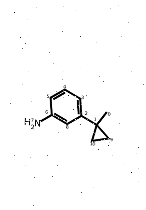 CC1(c2cccc(N)c2)CC1